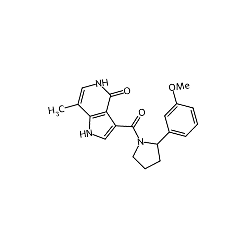 COc1cccc(C2CCCN2C(=O)c2c[nH]c3c(C)c[nH]c(=O)c23)c1